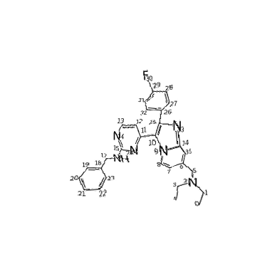 CCN(CC)Cc1ccn2c(-c3ccnc(NCc4ccccc4)n3)c(-c3ccc(F)cc3)nc2c1